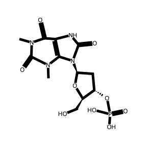 Cn1c(=O)c2[nH]c(=O)n([C@H]3C[C@H](OP(=O)(O)O)[C@@H](CO)O3)c2n(C)c1=O